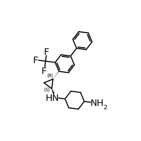 NC1CCC(N[C@H]2C[C@@H]2c2ccc(-c3ccccc3)cc2C(F)(F)F)CC1